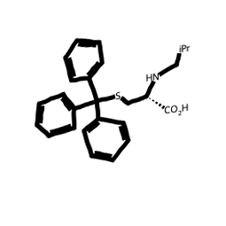 CC(C)CN[C@@H](CSC(c1ccccc1)(c1ccccc1)c1ccccc1)C(=O)O